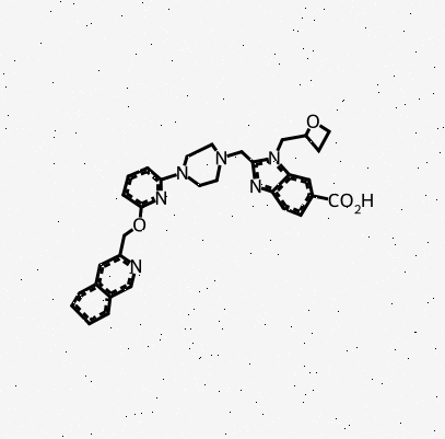 O=C(O)c1ccc2nc(CN3CCN(c4cccc(OCc5cc6ccccc6cn5)n4)CC3)n(CC3CCO3)c2c1